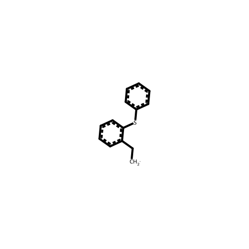 [CH2]Cc1ccccc1Sc1ccccc1